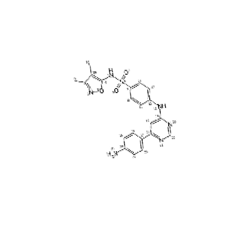 Cc1noc(NS(=O)(=O)c2ccc(Nc3cc(-c4ccc(N)cc4)ncn3)cc2)c1C